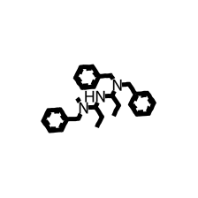 CCC(NC(CC)N(Cc1ccccc1)Cc1ccccc1)N(C)Cc1ccccc1